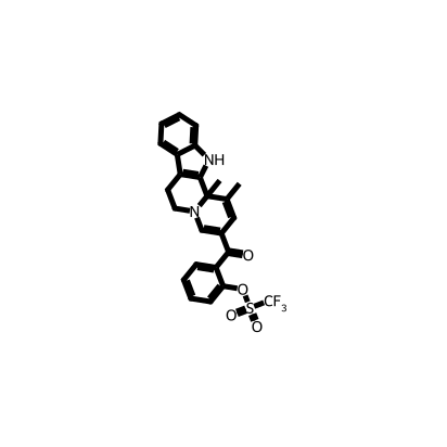 CC1=CC(C(=O)c2ccccc2OS(=O)(=O)C(F)(F)F)=CN2CCc3c([nH]c4ccccc34)C12C